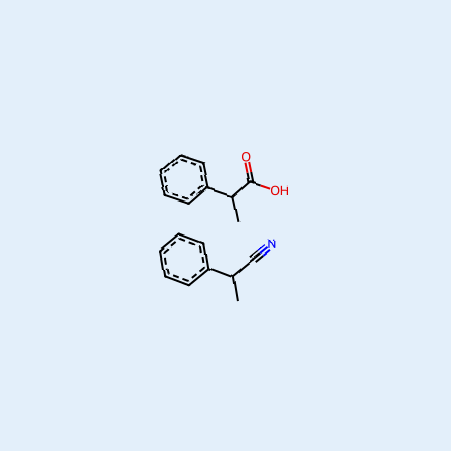 CC(C#N)c1ccccc1.CC(C(=O)O)c1ccccc1